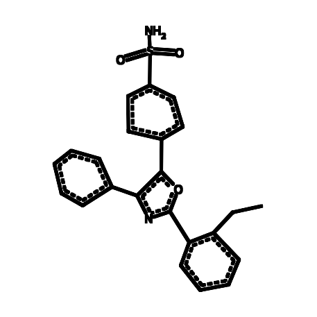 CCc1ccccc1-c1nc(-c2ccccc2)c(-c2ccc(S(N)(=O)=O)cc2)o1